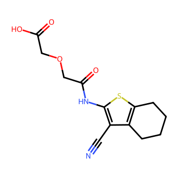 N#Cc1c(NC(=O)COCC(=O)O)sc2c1CCCC2